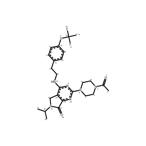 CC(=O)N1CCN(c2nc(NCCc3ccc(OC(F)(F)F)cc3)c3c(n2)C(=O)N(C(C)C)C3)CC1